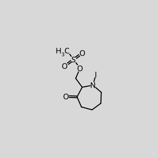 CS(=O)(=O)OCC1C(=O)CCCCN1I